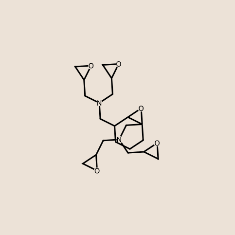 C1CC(CN(CC2CO2)CC2CO2)C2OC2(CN(CC2CO2)CC2CO2)C1